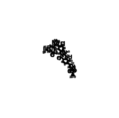 CNC(=N)N(C(=O)c1ccc(-c2cnn(S(=O)(=O)C3CC3)c2)c(F)c1)[C@H](COC(=O)NCC(F)(F)F)c1ccc(Cl)c(-n2ncnc2C(F)F)c1